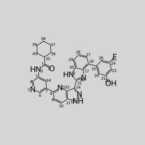 O=C(Nc1cncc(-c2ccc3[nH]nc(-c4nc5c(-c6cc(O)cc(F)c6)cccc5[nH]4)c3n2)c1)C1CCCCC1